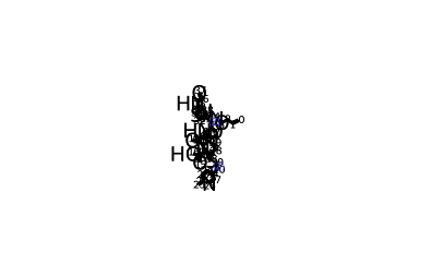 C=CCO/N=C(\C(=O)NC1C(=O)N2C(C(=O)O)=C(S/C=C\c3ccc(C)nc3)CS[C@H]12)c1csc(NC=O)n1